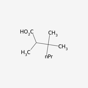 CCCC(C)(C)C(C)C(=O)O